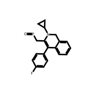 O=PCC1=C(c2ccc(F)cc2)c2ccccc2CN1C1CC1